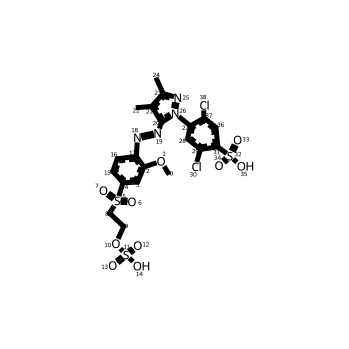 COc1cc(S(=O)(=O)CCOS(=O)(=O)O)ccc1/N=N/c1c(C)c(C)nn1-c1cc(Cl)c(S(=O)(=O)O)cc1Cl